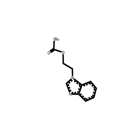 CC(C)(C)C(=O)OCCn1cnc2ccccc21